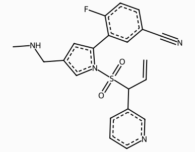 C=CC(c1cccnc1)S(=O)(=O)n1cc(CNC)cc1-c1cc(C#N)ccc1F